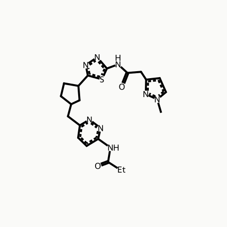 CCC(=O)Nc1ccc(CC2CCC(c3nnc(NC(=O)Cc4ccn(C)n4)s3)C2)nn1